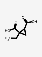 CCC1(C(=O)O)CC1C(=O)O